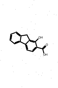 O=C(O)c1ccc2c(c1O)Cc1ccccc1-2